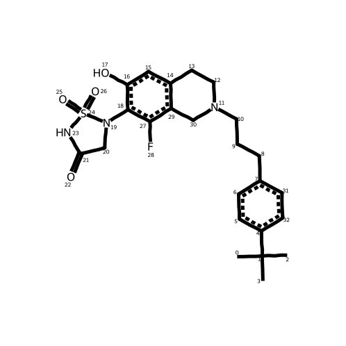 CC(C)(C)c1ccc(CCCN2CCc3cc(O)c(N4CC(=O)NS4(=O)=O)c(F)c3C2)cc1